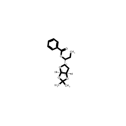 CCC(OC(=O)c1ccccc1)[C@@H]1C[C@H]2OC(C)(C)O[C@H]2O1